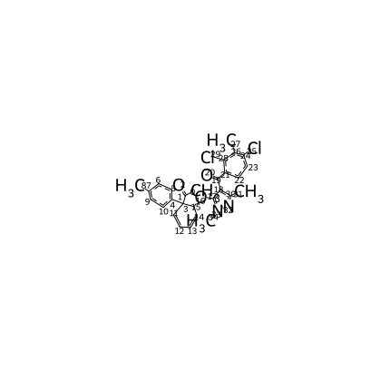 CC(=O)C1(c2ccc(C)cc2)C=CC=CC1Oc1c(C(=O)c2ccc(Cl)c(C)c2Cl)c(C)nn1C